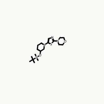 CC(C)(C)[Si](C)(C)OC1CCCN(c2cnc(N3CCOCC3)s2)C1